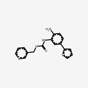 Nc1ccc(-c2cccs2)cc1NC(=O)OCc1cccnc1